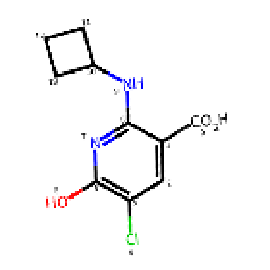 O=C(O)c1cc(Cl)c(O)nc1NC1CCC1